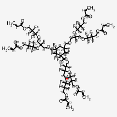 C=CC(=O)OCC(F)(F)C(F)(F)OCC(F)(COCC1(F)CC(F)(COCC(F)(COC(F)(F)C(F)(F)COC(=O)C=C)OC(F)(F)C(F)(F)COC(=O)C=C)C(F)(F)C(F)(C(F)(F)OC(F)(F)C(F)(COC(F)(F)C(F)(F)COC(=O)C=C)OC(F)(F)C(F)(F)COC(=O)C=C)C1(F)F)OC(F)(F)C(F)(F)COC(=O)C=C